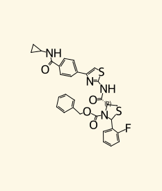 O=C(NC1CC1)c1ccc(-c2csc(NC(=O)[C@@H]3CSC(c4ccccc4F)N3C(=O)OCc3ccccc3)n2)cc1